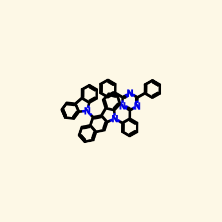 c1ccc(-c2nc(-c3ccccc3)nc(-c3ccccc3-n3c4ccccc4c4c(-n5c6ccccc6c6ccccc65)c5ccccc5cc43)n2)cc1